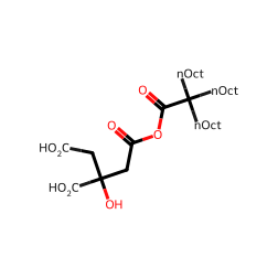 CCCCCCCCC(CCCCCCCC)(CCCCCCCC)C(=O)OC(=O)CC(O)(CC(=O)O)C(=O)O